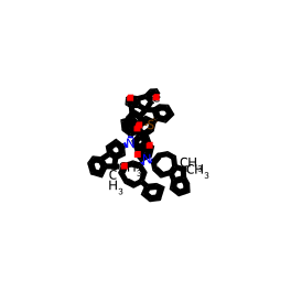 CC1(C)C2=C(/C=C\C(N(/C3=C/C=C\C=CC(c4ccccc4)C3)c3ccc(-c4cccc5c4Sc4ccccc4C54c5ccccc5-c5cccc(-c6ccc(N(c7ccc8c(c7)C(C)(C)c7ccccc7-8)c7ccccc7-c7ccccc7)cc6)c54)cc3)=C/CC2)c2ccccc21